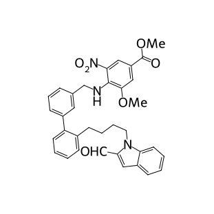 COC(=O)c1cc(OC)c(NCc2cccc(-c3ccccc3CCCCn3c(C=O)cc4ccccc43)c2)c([N+](=O)[O-])c1